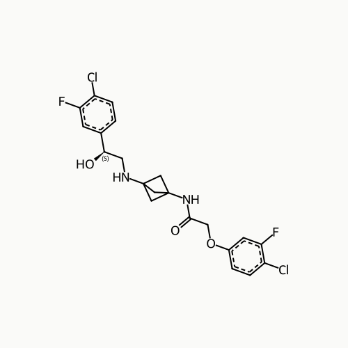 O=C(COc1ccc(Cl)c(F)c1)NC12CC(NC[C@@H](O)c3ccc(Cl)c(F)c3)(C1)C2